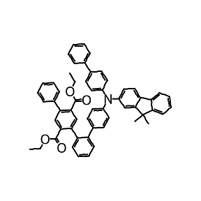 CCOC(=O)c1cc(-c2ccccc2-c2ccc(N(c3ccc(-c4ccccc4)cc3)c3ccc4c(c3)C(C)(C)c3ccccc3-4)cc2)c(C(=O)OCC)cc1-c1ccccc1